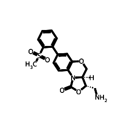 CS(=O)(=O)c1ccccc1-c1ccc2c(c1)OC[C@H]1[C@H](CN)OC(=O)N21